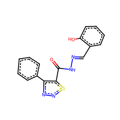 O=C(N/N=C/c1ccccc1O)c1snnc1-c1ccccc1